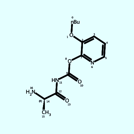 CCCCOc1cccnc1OC(=O)NC(=O)[C@@H](C)N